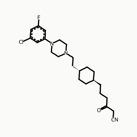 N#CCC(=O)CCC[C@H]1CC[C@H](CCN2CCN(c3cc(F)cc(Cl)c3)CC2)CC1